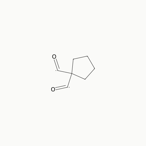 O=[C]C1([C]=O)CCCC1